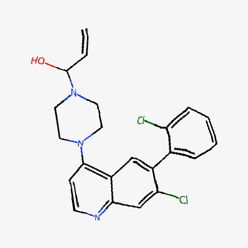 C=CC(O)N1CCN(c2ccnc3cc(Cl)c(-c4ccccc4Cl)cc23)CC1